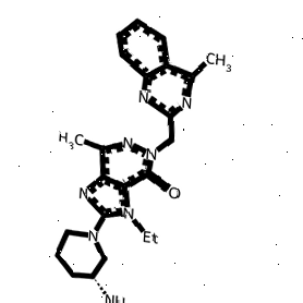 CCn1c(N2CCC[C@@H](N)C2)nc2c(C)nn(Cc3nc(C)c4ccccc4n3)c(=O)c21